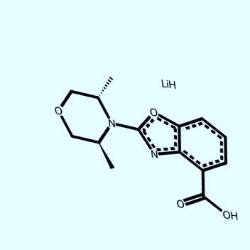 C[C@H]1COC[C@H](C)N1c1nc2c(C(=O)O)cccc2o1.[LiH]